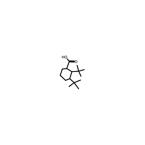 CC(C)(C)C1CCCC(C(=O)O)C1C(C)(C)C